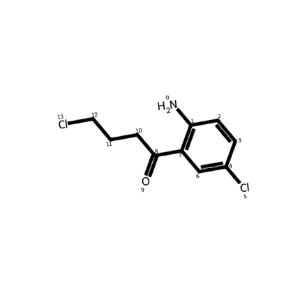 Nc1ccc(Cl)cc1C(=O)CCCCl